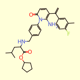 C=C(c1ccc(F)c(C)c1)c1ccc(=O)n(-c2ccc(CNC(CC(C)C)C(=O)OC3CCCC3)cc2)c1N